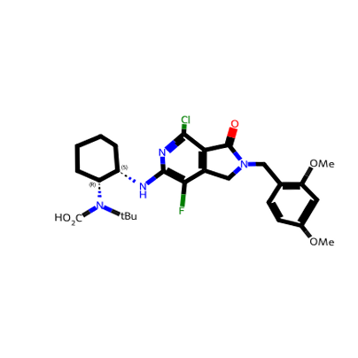 COc1ccc(CN2Cc3c(F)c(N[C@H]4CCCC[C@H]4N(C(=O)O)C(C)(C)C)nc(Cl)c3C2=O)c(OC)c1